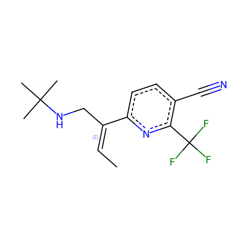 C/C=C(/CNC(C)(C)C)c1ccc(C#N)c(C(F)(F)F)n1